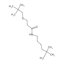 CC(C)(C)CCCCNC(=O)CCOCC(C)(C)C